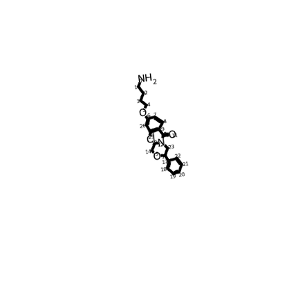 NCCCCOc1ccc(C(=O)N2CCOC(c3ccccc3)C2)c(Cl)c1